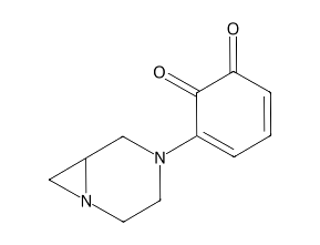 O=C1C=CC=C(N2CCN3CC3C2)C1=O